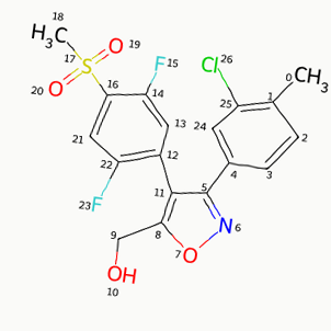 Cc1ccc(-c2noc(CO)c2-c2cc(F)c(S(C)(=O)=O)cc2F)cc1Cl